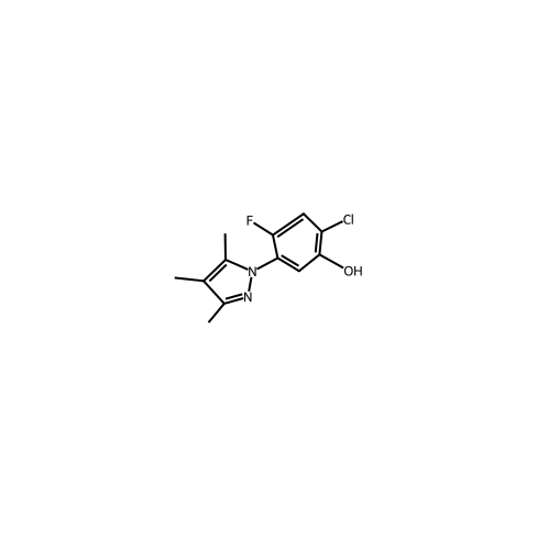 Cc1nn(-c2cc(O)c(Cl)cc2F)c(C)c1C